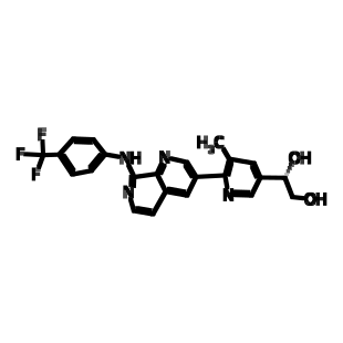 Cc1cc([C@H](O)CO)cnc1-c1cnc2c(Nc3ccc(C(F)(F)F)cc3)nccc2c1